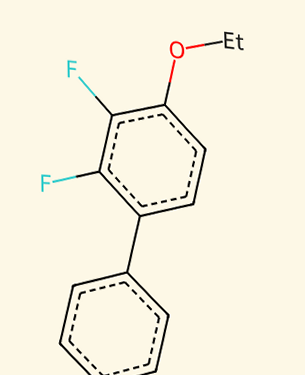 CCOc1ccc(-c2ccccc2)c(F)c1F